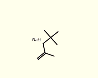 C=C(C)CC(C)(C)C.[NaH]